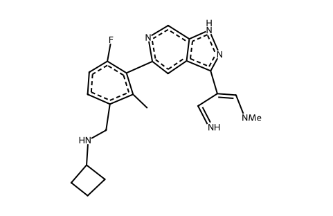 CN/C=C(\C=N)c1n[nH]c2cnc(-c3c(F)ccc(CNC4CCC4)c3C)cc12